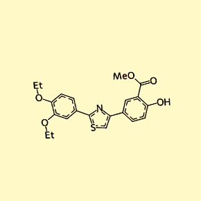 CCOc1ccc(-c2nc(-c3ccc(O)c(C(=O)OC)c3)cs2)cc1OCC